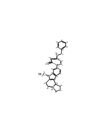 Cn1c2c(c3ccc(-n4ncc(OCc5ccccc5)cc4=O)cc31)C1CCCN1CC2